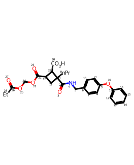 CCCC1(C(=O)NCc2ccc(Oc3ccccc3)cc2)CC(C(=O)OCOC(=O)CC)C1C(=O)O